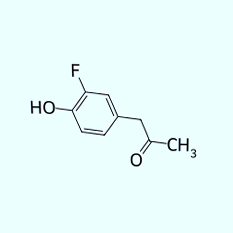 CC(=O)Cc1ccc(O)c(F)c1